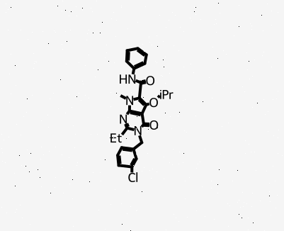 CCc1nc2c(c(OC(C)C)c(C(=O)Nc3ccccc3)n2C)c(=O)n1Cc1cccc(Cl)c1